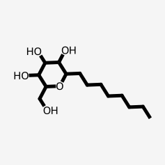 CCCCCCCCC1OC(CO)C(O)C(O)C1O